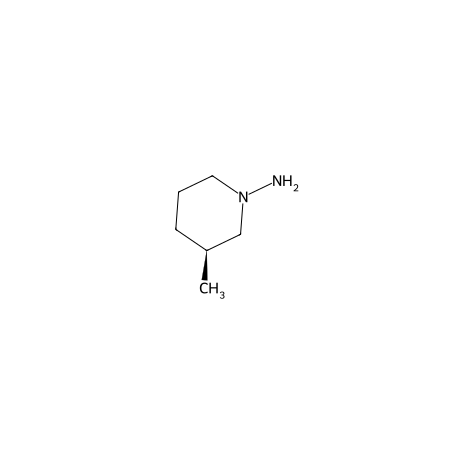 C[C@H]1CCCN(N)C1